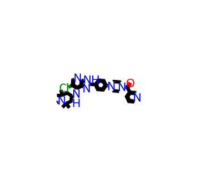 CN1C(C)(C)CC(Nc2c(Cl)cnc3[nH]c(-c4ccc(N5CCN(C(=O)c6cccnc6)CC5)cc4)nc23)CC1(C)C